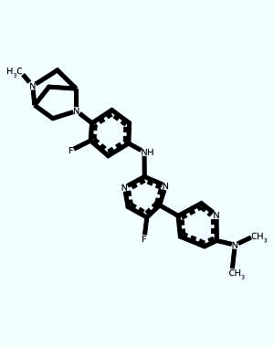 CN(C)c1ccc(-c2nc(Nc3ccc(N4CC5CC4CN5C)c(F)c3)ncc2F)cn1